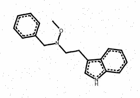 CON(CCc1c[nH]c2ccccc12)Cc1ccccc1